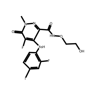 Cn1nc(C(=O)NOCCO)c([AsH]c2ccc(I)cc2F)c(F)c1=O